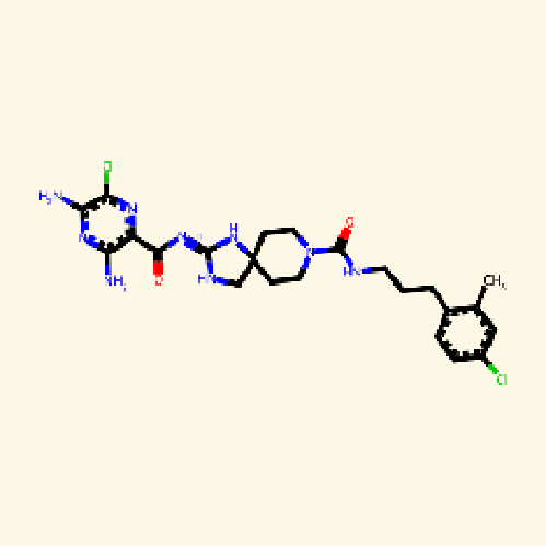 Cc1cc(Cl)ccc1CCCNC(=O)N1CCC2(CC1)CN/C(=N\C(=O)c1nc(Cl)c(N)nc1N)N2